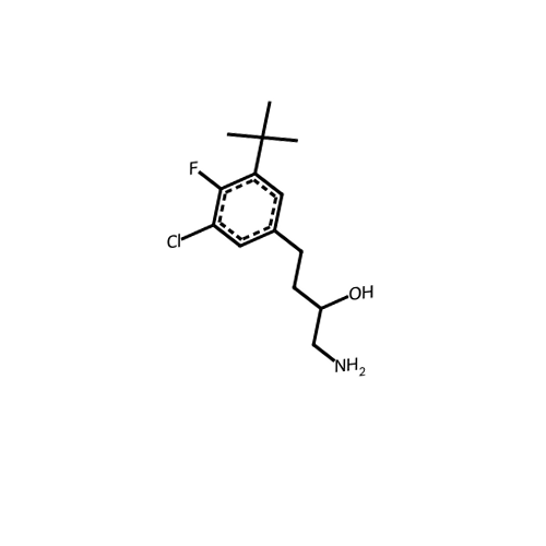 CC(C)(C)c1cc(CCC(O)CN)cc(Cl)c1F